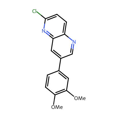 COc1ccc(-c2cnc3ccc(Cl)nc3c2)cc1OC